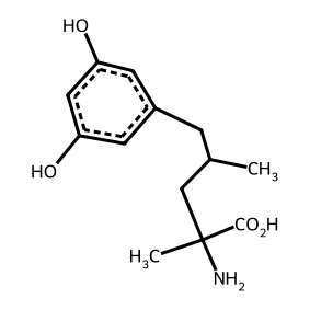 CC(Cc1cc(O)cc(O)c1)CC(C)(N)C(=O)O